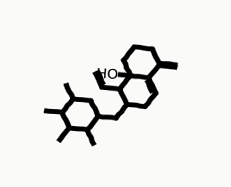 C=CC1C(CC2CC(C)C(C)C(C)C2C)CC=C2C(=C)CCCC21O